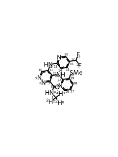 [2H]C([2H])([2H])NC(=O)c1nncc(Nc2ccc(C(F)F)cn2)c1Nc1ncccc1SC